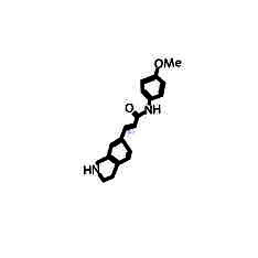 COc1ccc(NC(=O)/C=C/c2ccc3c(c2)CNCC3)cc1